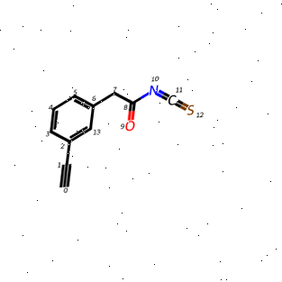 C#Cc1cccc(CC(=O)N=C=S)c1